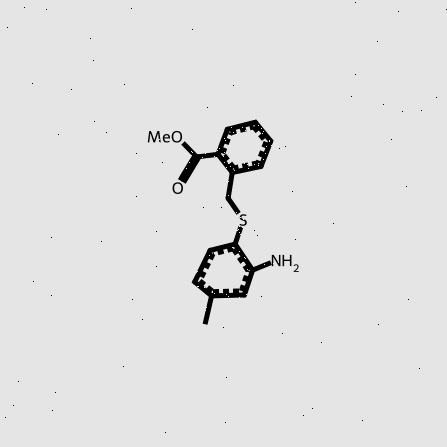 COC(=O)c1ccccc1CSc1ccc(C)cc1N